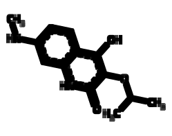 CNc1ccc2c(O)c(OC(C)C)c(=O)[nH]c2c1